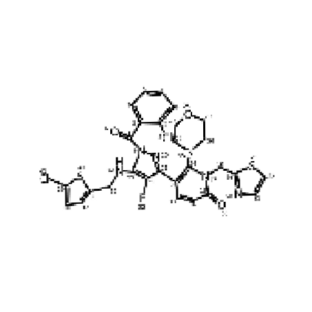 O=C(c1ccccc1Cl)n1nc(-c2ccc(=O)n(Cc3nccs3)c2N2CCOCC2)c(F)c1NCc1ccc(Cl)s1